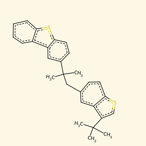 CC(C)(C)c1csc2ccc(CC(C)(C)c3ccc4sc5ccccc5c4c3)cc12